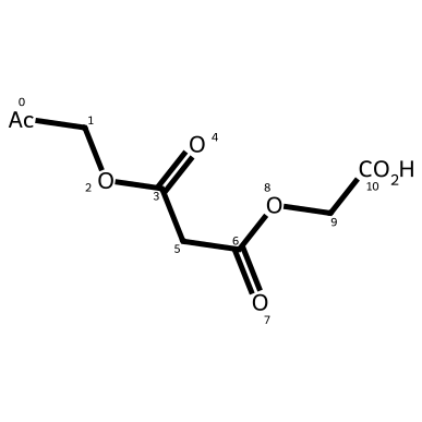 CC(=O)COC(=O)CC(=O)OCC(=O)O